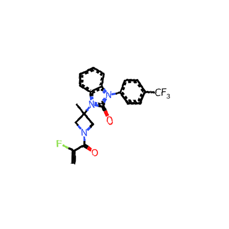 C=C(F)C(=O)N1CC(C)(n2c(=O)n(-c3ccc(C(F)(F)F)cc3)c3ccccc32)C1